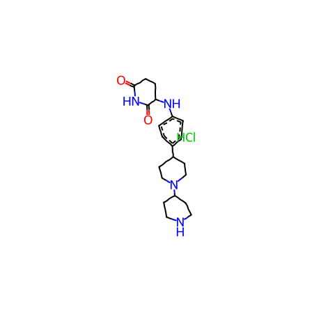 Cl.O=C1CCC(Nc2ccc(C3CCN(C4CCNCC4)CC3)cc2)C(=O)N1